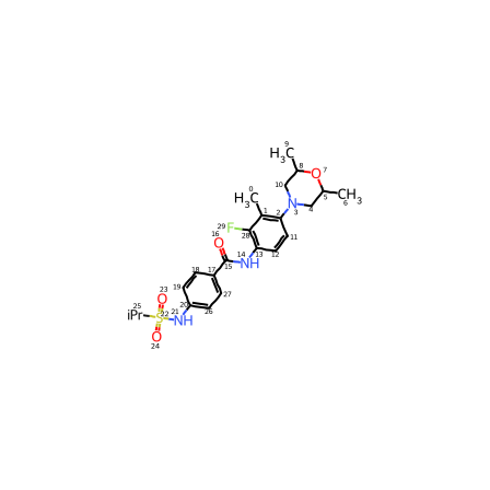 Cc1c(N2CC(C)OC(C)C2)ccc(NC(=O)c2ccc(NS(=O)(=O)C(C)C)cc2)c1F